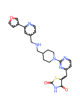 O=C1NC(=O)C(=Cc2ccnc(N3CCC(CNCc4ccnc(-c5ccoc5)c4)CC3)n2)S1